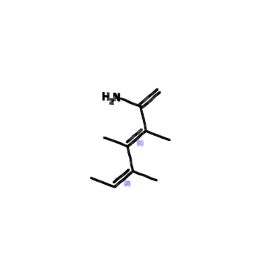 C=C(N)/C(C)=C(C)/C(C)=C\C